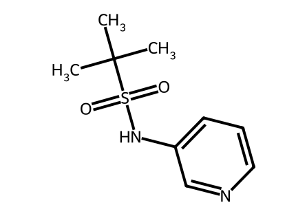 CC(C)(C)S(=O)(=O)Nc1cccnc1